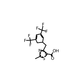 Cc1nc(CC2C=C(C(F)(F)F)C=C(C(F)(F)F)C2)c(C(=O)O)s1